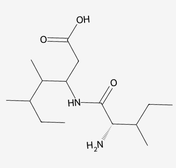 CCC(C)C(C)C(CC(=O)O)NC(=O)[C@@H](N)C(C)CC